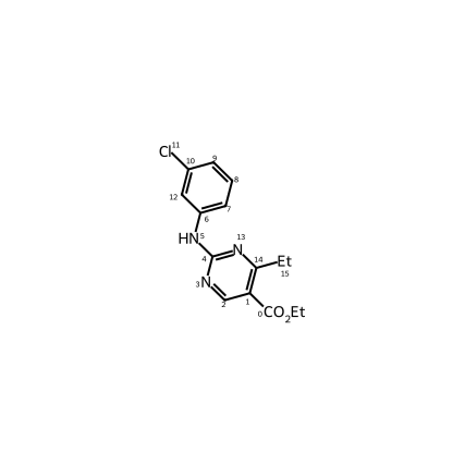 CCOC(=O)c1cnc(Nc2cccc(Cl)c2)nc1CC